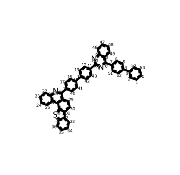 c1ccc(-c2ccc(-c3nc(-c4ccc(-c5ccc(-c6nc7ccccc7c7c6ccc6c8ccccc8sc67)cc5)cc4)nc4ccccc34)cc2)cc1